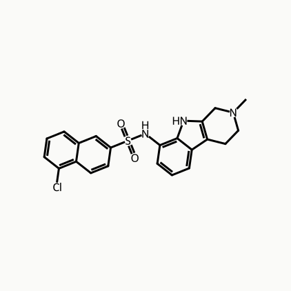 CN1CCc2c([nH]c3c(NS(=O)(=O)c4ccc5c(Cl)cccc5c4)cccc23)C1